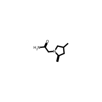 C=C1CC(C)CN1CC(N)=O